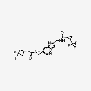 O=C(CC1CC(F)(F)C1)NCc1cnn2cc(CNC(=O)C3CC3C(F)(F)F)nc2c1